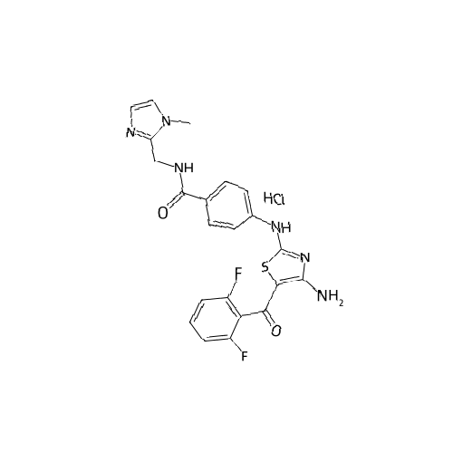 Cl.Cn1ccnc1CNC(=O)c1ccc(Nc2nc(N)c(C(=O)c3c(F)cccc3F)s2)cc1